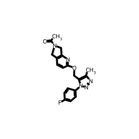 CC(=O)N1Cc2ccc(OCc3c(C)nnn3-c3ccc(F)cc3)nc2C1